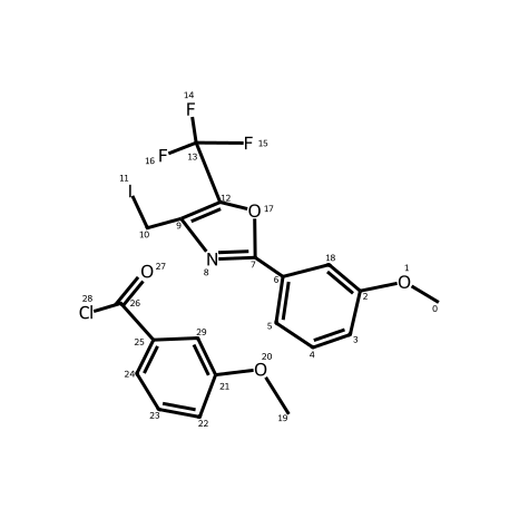 COc1cccc(-c2nc(CI)c(C(F)(F)F)o2)c1.COc1cccc(C(=O)Cl)c1